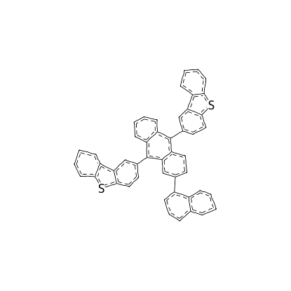 c1ccc2c(-c3ccc4c(-c5ccc6sc7ccccc7c6c5)c5ccccc5c(-c5ccc6sc7ccccc7c6c5)c4c3)cccc2c1